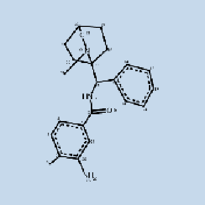 Cc1ccc(C(=O)NC(c2ccccc2)C23CCC(CC2)CN3C)cc1N